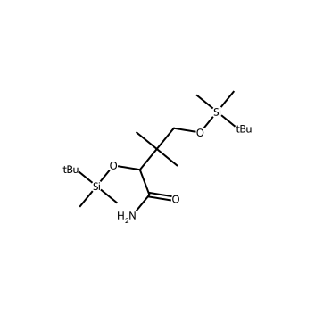 CC(C)(CO[Si](C)(C)C(C)(C)C)C(O[Si](C)(C)C(C)(C)C)C(N)=O